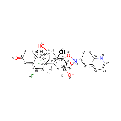 C[C@]12C=CC(=O)C=C1[C@@H](F)C[C@H]1[C@@H]3C[C@H]4CN(c5ccc6ncccc6c5)O[C@@]4(C(=O)CO)[C@@]3(C)C[C@H](O)[C@@]12F